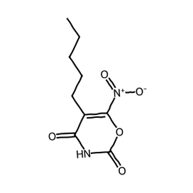 CCCCCc1c([N+](=O)[O-])oc(=O)[nH]c1=O